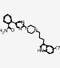 N#Cc1ccc2[nH]cc(CCCN3CCN(c4ncc(-c5ccccc5C(N)=O)cn4)CC3)c2c1